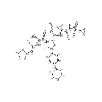 C=C[C@@H]1C[C@]1(NC(=O)[C@@H]1CN(c2ccc(N3CCCCC3)cc2)CN1C(=O)[C@@H](NC(=O)OC1CCCC1)C(C)(C)C)C(=O)NS(=O)(=O)C1CC1